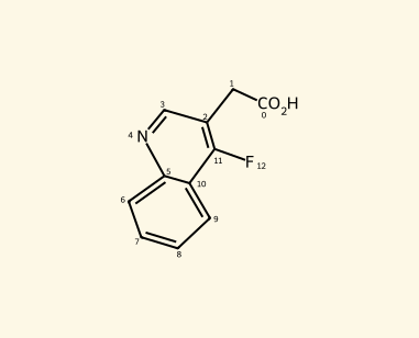 O=C(O)Cc1cnc2ccccc2c1F